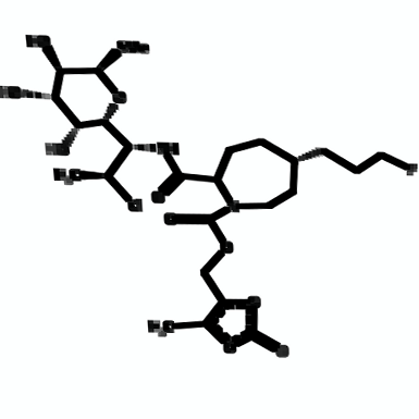 CS[C@H]1O[C@H]([C@H](NC(=O)C2CC[C@H](CCCF)CCN2C(=O)OCc2oc(=O)oc2C)[C@H](C)Cl)[C@H](O)[C@H](O)[C@H]1O